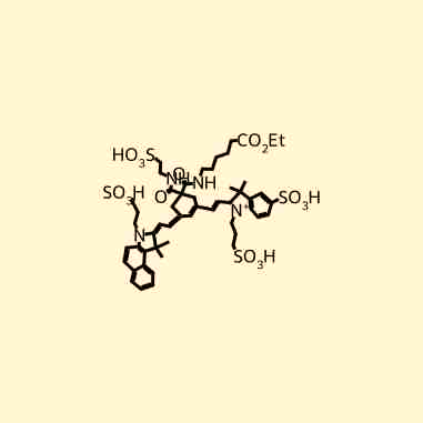 CCOC(=O)CCCCCNC(=O)C1(C(=O)NCCS(=O)(=O)O)CC(/C=C/C2=[N+](CCCS(=O)(=O)O)c3ccc(S(=O)(=O)O)cc3C2(C)C)=CC(=C/C=C2/N(CCCS(=O)(=O)O)c3ccc4ccccc4c3C2(C)C)/C1